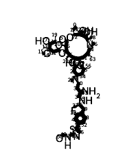 CC[C@H]1OC(=O)[C@H](C)[C@@H](O[C@H]2C[C@@](C)(OC)[C@@H](O)[C@H](C)O2)[C@H](C)[C@@H](O[C@H]2C[C@@H](N(C)CC/C(N)=C/N[C@H](CF)Cc3ccc(-c4cnc(NC=O)s4)cc3)C[C@@H](C)O2)[C@](C)(O)C[C@@H](C)CN(C)[C@H](C)[C@@H](O)[C@]1(C)O